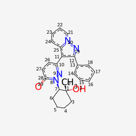 C[C@@]1(O)CCCC[C@H]1n1nc(-c2c(-c3ccccc3)nn3ccccc23)ccc1=O